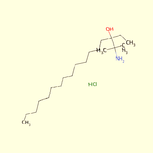 CCCCCCCCCCCCCCC(O)(CC)C(C)(C)N.Cl